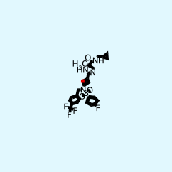 C[C@]1(C(=O)NCC2CC2)CN=C(C23CC(N(Cc4ccc(C(F)(F)F)cc4)S(=O)(=O)c4ccc(F)cc4)(C2)C3)N1